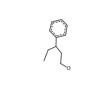 CCC(CCCl)c1ccccc1